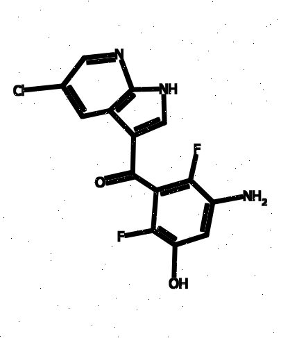 Nc1cc(O)c(F)c(C(=O)c2c[nH]c3ncc(Cl)cc23)c1F